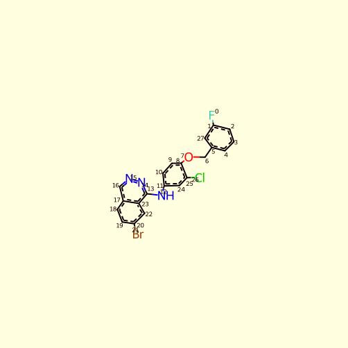 Fc1cccc(COc2ccc(Nc3nncc4ccc(Br)cc34)cc2Cl)c1